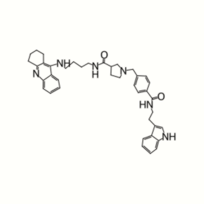 O=C(NCCc1c[nH]c2ccccc12)c1ccc(CN2CCC(C(=O)NCCCCNc3c4c(nc5ccccc35)CCCC4)C2)cc1